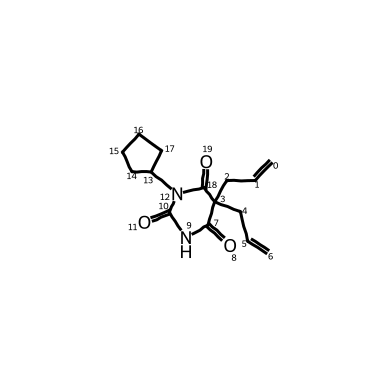 C=CCC1(CC=C)C(=O)NC(=O)N(C2CCCC2)C1=O